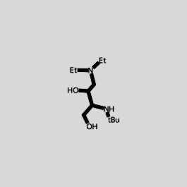 CCN(CC)CC(O)C(CO)NC(C)(C)C